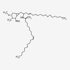 C=C(CCCCCCC/C=C\CCCCCCCCC)NC(C/C=C/CCCCCCCCCCCCC)CC1C2C[C@H](CC)C(C)C(N=O)C12